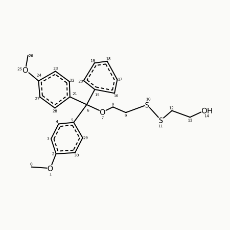 COc1ccc(C(OCCSSCCO)(c2ccccc2)c2ccc(OC)cc2)cc1